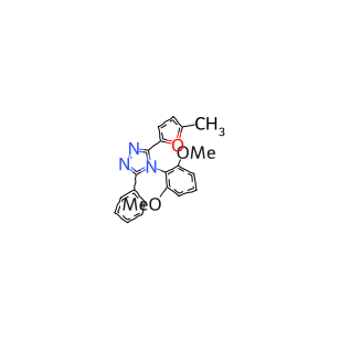 COc1cccc(OC)c1-n1c(-c2ccccc2)nnc1-c1ccc(C)o1